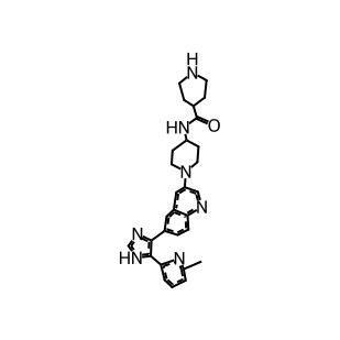 Cc1cccc(-c2[nH]cnc2-c2ccc3ncc(N4CCC(NC(=O)C5CCNCC5)CC4)cc3c2)n1